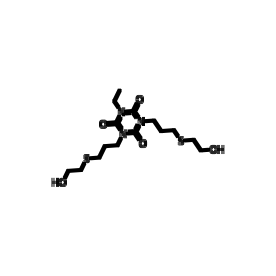 CCn1c(=O)n(CCCSCCO)c(=O)n(CCCSCCO)c1=O